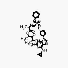 CC(C)C(=O)[C@H](C)OC(=O)[C@H](C)/N=C/P(=O)(OC[C@@H]1C=C[C@H](n2cnc3c(NC4CC4)nc(N)nc32)C1)Oc1ccccc1